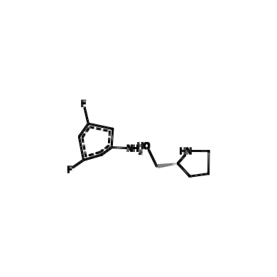 Nc1cc(F)cc(F)c1.OC[C@H]1CCCN1